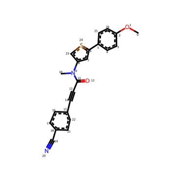 COc1ccc(-c2cc(N(C)C(=O)C#Cc3ccc(C#N)cc3)cs2)cc1